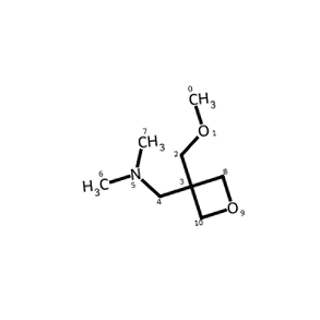 COCC1(CN(C)C)COC1